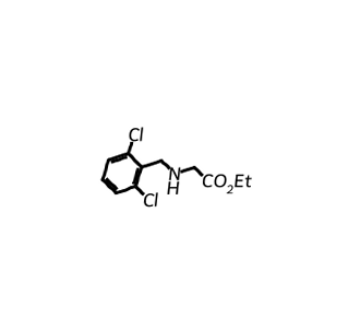 CCOC(=O)CNCc1c(Cl)cccc1Cl